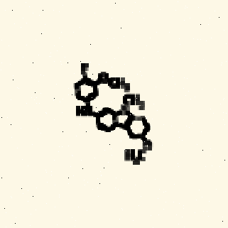 COc1cc(Nc2ccc3c4c(n(C)c3c2)CCC(OC)C4)ccc1F